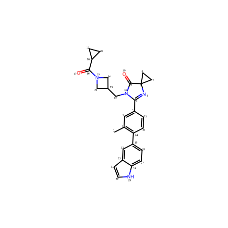 Cc1cc(C2=NC3(CC3)C(=O)N2CC2CN(C(=O)C3CC3)C2)ccc1-c1ccc2[nH]ccc2c1